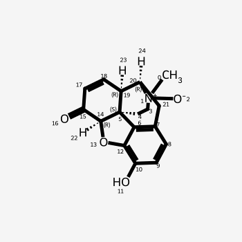 C[N+]1([O-])CC[C@]23c4c5ccc(O)c4O[C@H]2C(=O)C=C[C@H]3[C@H]1C5